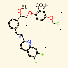 CCOC(COc1ccc(OCF)cc1C(=O)O)c1cccc(/C=C/c2ccc3cc(F)c(F)cc3n2)c1